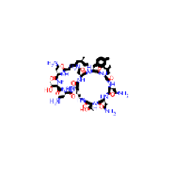 CC[C@H](C)CCCCC(=O)N[C@@H](CCN)C(=O)N[C@H](C(=O)N[C@@H](CCN)C(=O)N[C@H]1CCNC(=O)[C@H]([C@@H](C)O)NC(=O)[C@H](CCN)NC(=O)[C@H](CCN)NC(=O)[C@H](CC(C)C)NC(=O)[C@@H](Cc2ccc(C)cc2)NC(=O)[C@H](CCN)NC1=O)[C@@H](C)O